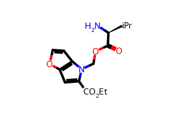 CCOC(=O)c1cc2occc2n1COC(=O)[C@@H](N)C(C)C